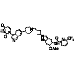 COc1cc2nn([C@H]3C[C@H](CN4CCC(c5ccc6c(N7CCC(=O)NC7=O)cncc6c5)CC4)C3)cc2cc1NC(=O)c1cccc(C(F)(F)F)n1